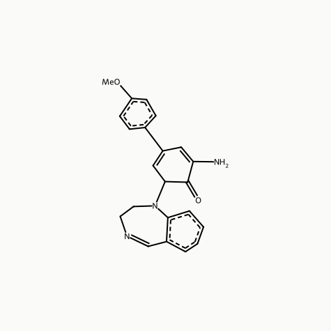 COc1ccc(C2=CC(N3CCN=Cc4ccccc43)C(=O)C(N)=C2)cc1